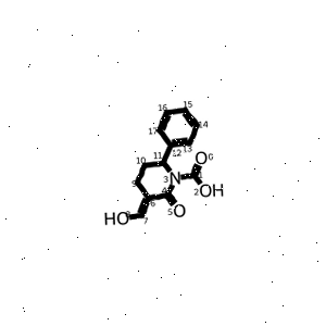 O=C(O)N1C(=O)/C(=C/O)CCC1c1ccccc1